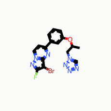 CC(Cn1cnnn1)Oc1cccc(-c2ccn3nc(F)c(Br)c3n2)c1